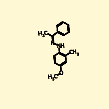 COc1ccc(NN=C(C)c2ccccc2)c(C)c1